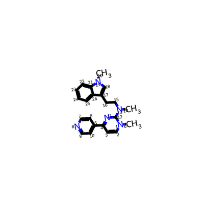 CN1C=CC(c2ccncc2)=NC1N(C)CCc1cn(C)c2ccccc12